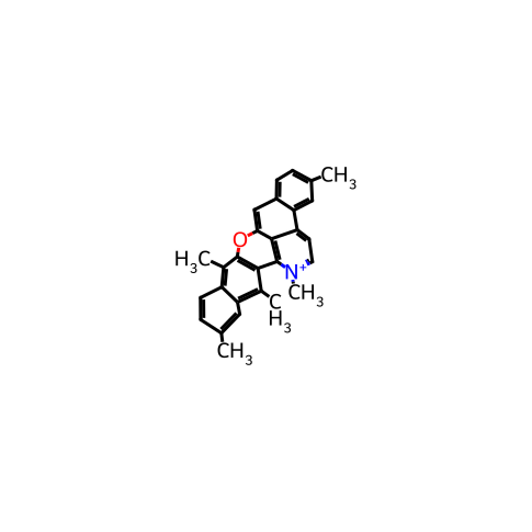 Cc1ccc2c(C)c3c(c(C)c2c1)-c1c2c(cc4ccc(C)cc4c2cc[n+]1C)O3